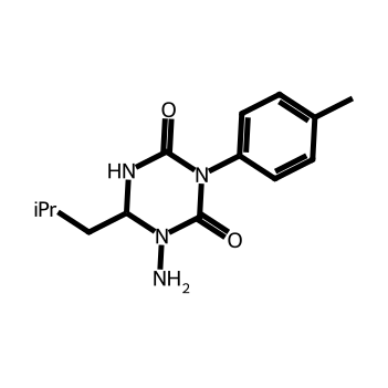 Cc1ccc(N2C(=O)NC(CC(C)C)N(N)C2=O)cc1